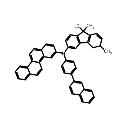 CC1C=CC2=C(C1)c1cc(N(c3ccc(-c4ccc5ccccc5c4)cc3)c3ccc4ccc5c6ccccc6ccc5c4c3)ccc1C2(C)C